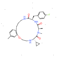 Cc1ccc2c(c1)OCCN[C@@H](C1CC1)C(=O)N(C)[C@H](C)C(=O)N[C@H](Cc1ccc(F)cc1)C(=O)NCCC2